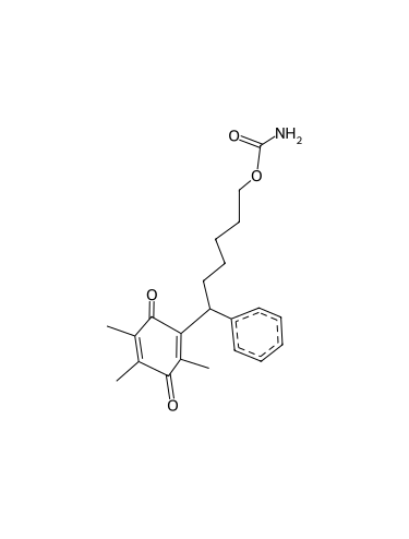 CC1=C(C)C(=O)C(C(CCCCCOC(N)=O)c2ccccc2)=C(C)C1=O